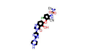 CCN(C)S(=O)(=O)Nc1ccc(F)c(Oc2ccc3ncn(-c4cnc(N5CCNCC5)nc4)c(=O)c3c2O)c1C#N